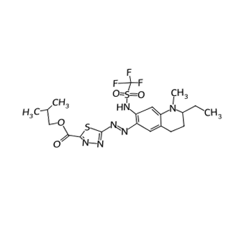 CCC1CCc2cc(N=Nc3nnc(C(=O)OCC(C)C)s3)c(NS(=O)(=O)C(F)(F)F)cc2N1C